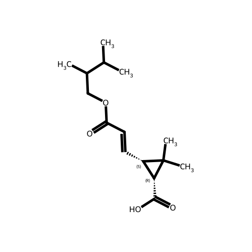 CC(C)C(C)COC(=O)C=C[C@H]1[C@@H](C(=O)O)C1(C)C